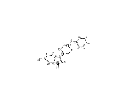 Fc1ccc2c(N3CCN(Cc4ccccc4)CC3)n[nH]c2c1